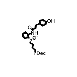 CCCCCCCCCCCCCC[S+]([O-])c1ccccc1NC(=O)/C=C/c1ccc(O)cc1